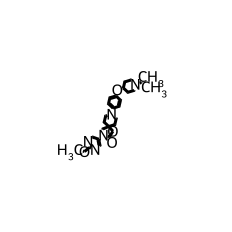 COc1ncc(N2CC3(CCN(c4ccc(OC5CCN(C(C)C)CC5)cc4)CC3)OC2=O)cn1